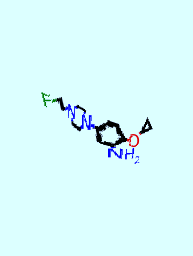 Nc1cc(N2CCN(CCF)CC2)ccc1OC1CC1